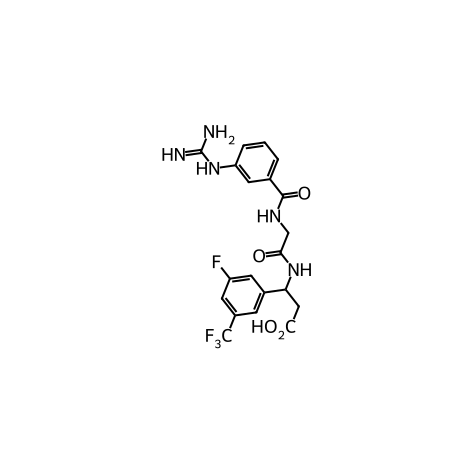 N=C(N)Nc1cccc(C(=O)NCC(=O)NC(CC(=O)O)c2cc(F)cc(C(F)(F)F)c2)c1